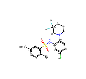 CCc1ccc(C(=O)O)cc1S(=O)(=O)Nc1cc(Cl)ccc1N1CCCC(F)(F)C1